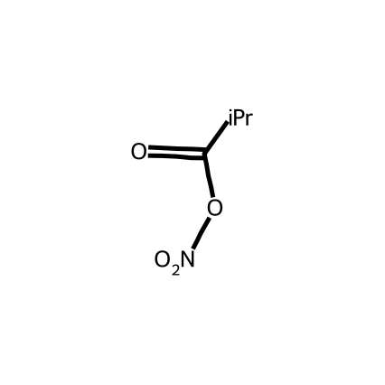 CC(C)C(=O)O[N+](=O)[O-]